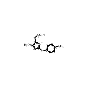 Cc1ccc(Sc2nc(C)c(CC(=O)O)s2)cc1